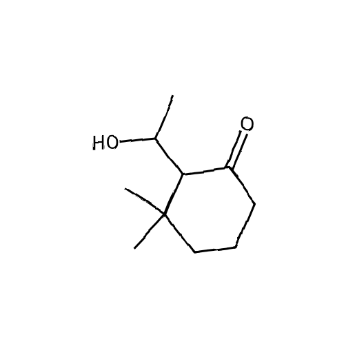 CC(O)C1C(=O)CCCC1(C)C